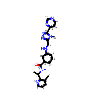 Cc1cccnc1C(C)NC(=O)c1cccc(NCc2nnc(-c3ccncn3)n2C)c1